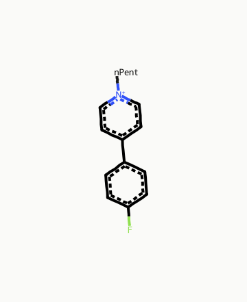 CCCCC[n+]1ccc(-c2ccc(F)cc2)cc1